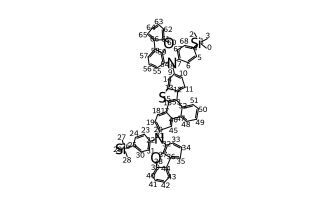 C[Si](C)(C)c1ccc(N(c2ccc3c(c2)sc2c4ccc(N(c5ccc([Si](C)(C)C)cc5)c5cccc6c5oc5ccccc56)cc4c4ccccc4c32)c2cccc3c2oc2ccccc23)cc1